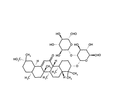 CC1(C)[C@@H](O[C@H]2O[C@H](C=O)[C@@H](O)[C@H](O)[C@H]2O[C@H]2O[C@@H](C=O)[C@H](O)[C@@H](O)[C@@H]2O)CC[C@]2(C)[C@H]3C(=O)C=C4[C@@H]5C[C@@](C)(C(=O)O)CC[C@]5(C)CC[C@@]4(C)[C@]3(C)CC[C@@H]12